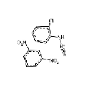 N#[N+]Nc1ccccc1Cl.O=[N+]([O-])c1cccc([N+](=O)[O-])c1